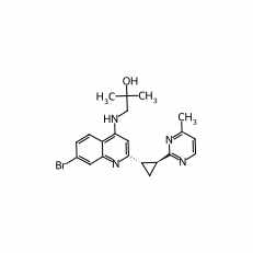 Cc1ccnc([C@H]2C[C@@H]2c2cc(NCC(C)(C)O)c3ccc(Br)cc3n2)n1